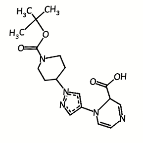 CC(C)(C)OC(=O)N1CCC(n2cc(N3C=CN=CC3C(=O)O)cn2)CC1